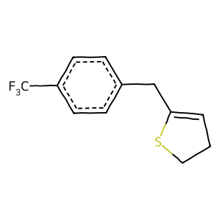 FC(F)(F)c1ccc(CC2=CCCS2)cc1